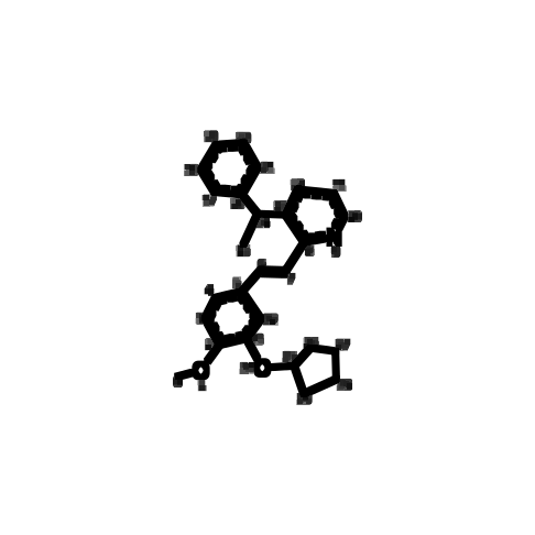 COc1ccc(C=Cc2ncccc2C(C)c2ccccc2)cc1OC1CCCC1